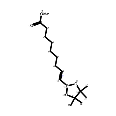 COC(=O)CCCCCC/C=C/B1OC(C)(C)C(C)(C)O1